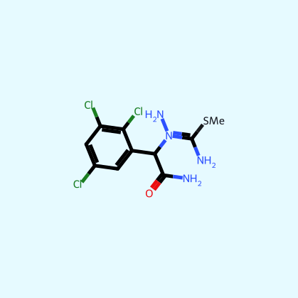 CSC(N)=[N+](N)C(C(N)=O)c1cc(Cl)cc(Cl)c1Cl